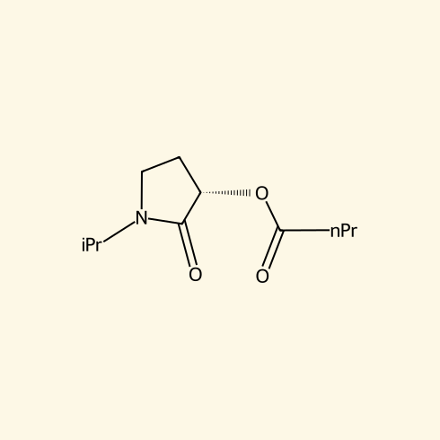 CCCC(=O)O[C@H]1CCN(C(C)C)C1=O